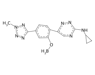 BOc1cc(-c2nnn(C)n2)ccc1-c1cnc(NC2CC2)nn1